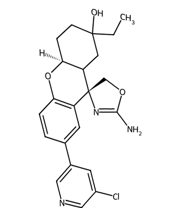 CCC1(O)CC[C@@H]2Oc3ccc(-c4cncc(Cl)c4)cc3[C@]3(COC(N)=N3)C2C1